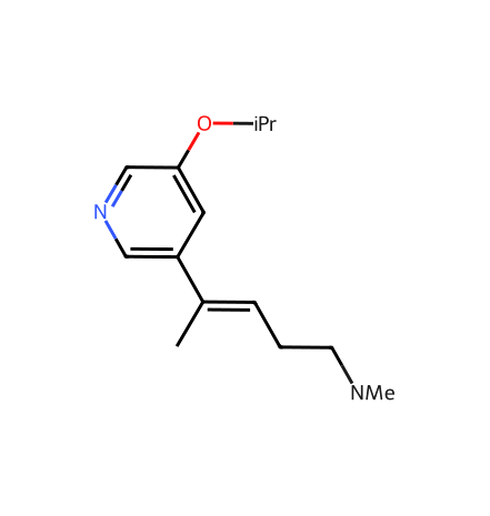 CNCCC=C(C)c1cncc(OC(C)C)c1